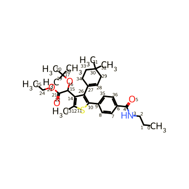 CCCNC(=O)c1ccc(-c2sc(C)c(C(OC(C)(C)C)C(=O)OCC)c2C2=CCC(C)(C)CC2)cc1